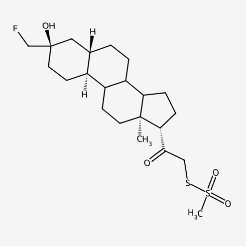 C[C@]12CCC3C(CC[C@H]4C[C@@](O)(CF)CC[C@H]34)C1CC[C@@H]2C(=O)CSS(C)(=O)=O